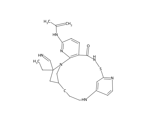 C=C(C)Nc1ccc2c(n1)N1CC(CCCNc3ccnc(c3)SNC2=O)CC1(C=N)CC